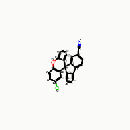 N#Cc1ccc2c(c1)C1(c3ccccc3Oc3ccc(Cl)cc31)c1ccccc1-2